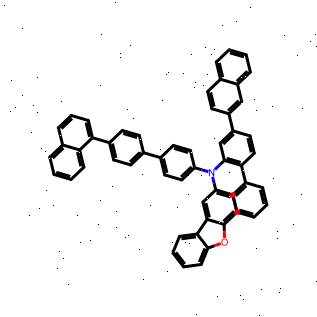 c1ccc(-c2ccc(-c3ccc4ccccc4c3)cc2N(c2ccc(-c3ccc(-c4cccc5ccccc45)cc3)cc2)c2ccc3oc4ccccc4c3c2)cc1